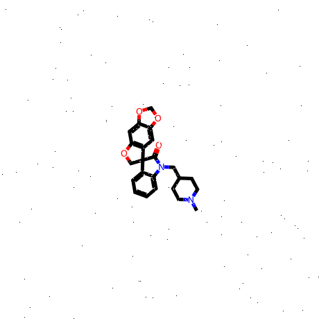 CN1CCC(CN2C(=O)C3(COc4cc5c(cc43)OCO5)c3ccccc32)CC1